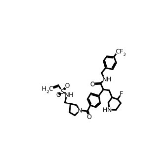 C=CS(=O)(=O)NC[C@@H]1CCN(C(=O)c2ccc(C(CC3CNCCC3F)C(=O)NCc3ccc(C(F)(F)F)cc3)cc2)C1